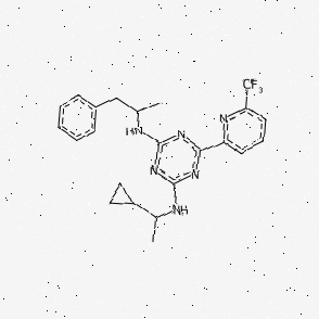 CC(Cc1ccccc1)Nc1nc(NC(C)C2CC2)nc(-c2cccc(C(F)(F)F)n2)n1